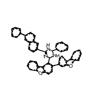 c1ccc(-c2ccc3cc(C4=NC(c5c(-c6ccc7c(c6)oc6ccccc67)ccc6oc7ccccc7c56)NC(c5ccccc5)N4)ccc3c2)cc1